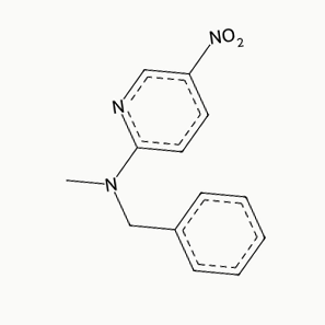 CN(Cc1ccccc1)c1ccc([N+](=O)[O-])cn1